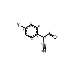 N#CC(C=O)c1ccc(F)cc1